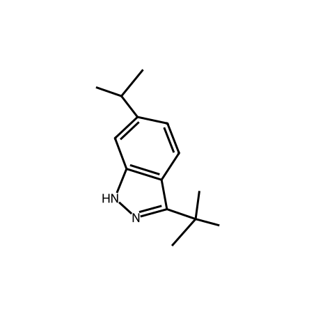 CC(C)c1ccc2c(C(C)(C)C)n[nH]c2c1